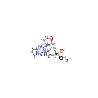 CN1CCC/C1=N/C(=N/c1ccc([S+](C)[O-])cc1)N1CCOCC1